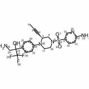 CC#C[C@H]1CN(S(=O)(=O)c2ccc(N)nc2)CCN1c1ccc(C(O)(CN)C(F)(F)F)cc1